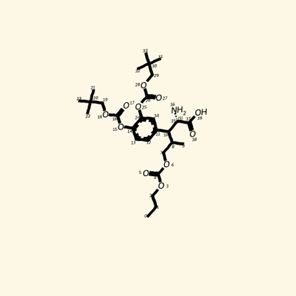 CCCOC(=O)OCC(C)C(c1ccc(OC(=O)OCC(C)(C)C)c(OC(=O)OCC(C)(C)C)c1)[C@H](N)C(=O)O